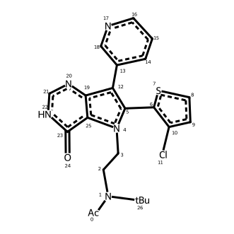 CC(=O)N(CCn1c(-c2sccc2Cl)c(-c2cccnc2)c2nc[nH]c(=O)c21)C(C)(C)C